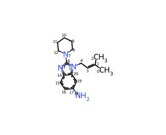 CC(C)=CCn1c(N2C[CH]CCC2)nc2ccc(N)cc21